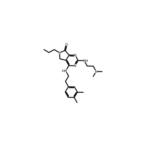 CCCN1Cc2c(NCCc3ccc(C)c(C)c3)nc(NCCN(C)C)nc2C1=O